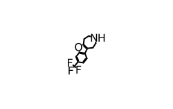 FC(F)(F)c1ccc2c3c(oc2c1)CCNCC3